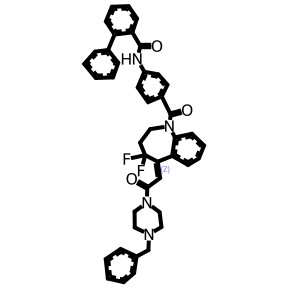 O=C(Nc1ccc(C(=O)N2CCC(F)(F)/C(=C\C(=O)N3CCN(Cc4ccccc4)CC3)c3ccccc32)cc1)c1ccccc1-c1ccccc1